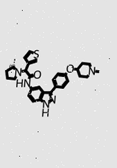 C[C@H]1CCCN1C(C(=O)Nc1ccc2[nH]nc(-c3ccc(OC4CCN(C)CC4)cc3)c2c1)c1ccsc1